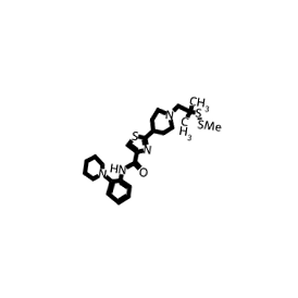 CSSC(C)(C)CN1CCC(c2nc(C(=O)Nc3ccccc3N3CCCCC3)cs2)CC1